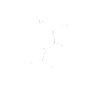 CCC(=O)OC(=O)C(CC)CC